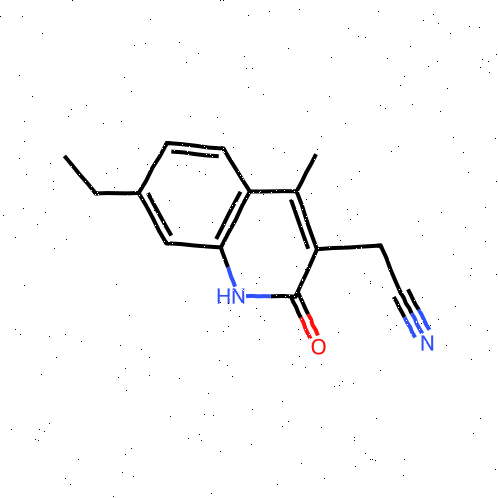 CCc1ccc2c(C)c(CC#N)c(=O)[nH]c2c1